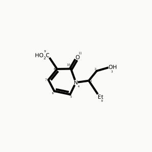 CCC(CO)n1cccc(C(=O)O)c1=O